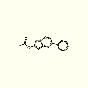 CC(=O)Oc1cc2cc(-c3ccccc3)ccn2c1